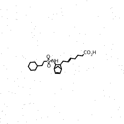 O=C(O)CCCC=CCC1C2C=CC(C2)C1NS(=O)(=O)CCC1CCCCC1